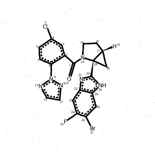 O=C(c1cc(Cl)ccc1-n1nccn1)N1CC[C@@H]2C[C@@]21c1nc2cc(F)c(Br)cc2[nH]1